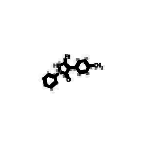 CCc1[nH]n(-c2ccccc2)c(=O)c1-c1ccc(C)cc1